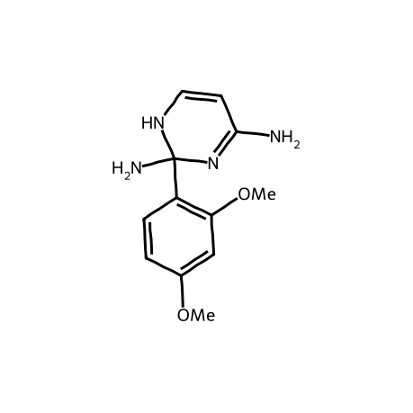 COc1ccc(C2(N)N=C(N)C=CN2)c(OC)c1